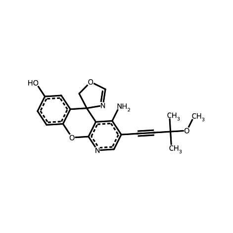 COC(C)(C)C#Cc1cnc2c(c1N)C1(COC=N1)c1cc(O)ccc1O2